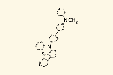 CN(c1ccccc1)c1ccc(-c2ccc(N(c3ccccc3)c3cccc4c3sc3ccccc34)cc2)cc1